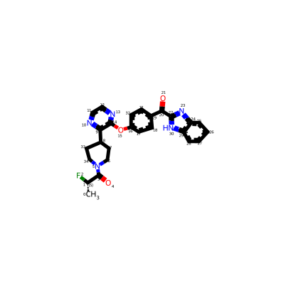 C[C@H](F)C(=O)N1CCC(c2nccnc2Oc2ccc(C(=O)c3nc4ccccc4[nH]3)cc2)CC1